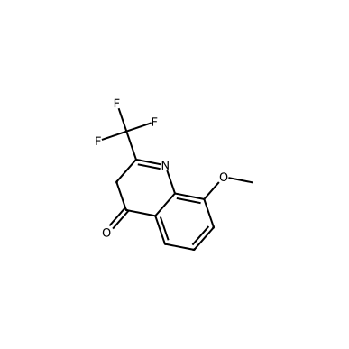 COc1cccc2c1N=C(C(F)(F)F)CC2=O